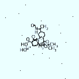 C=C(NC=O)C1CCN(C(=O)OC(C)(C)C)C(n2c(C)ccc(C(=O)O)c2=O)C1.[Li+].[OH-]